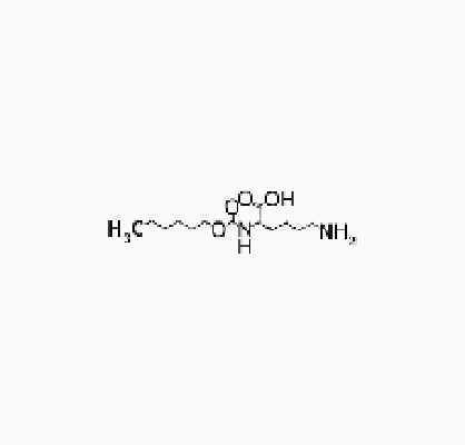 CCCCCCOC(=O)N[C@H](CCCCN)C(=O)O